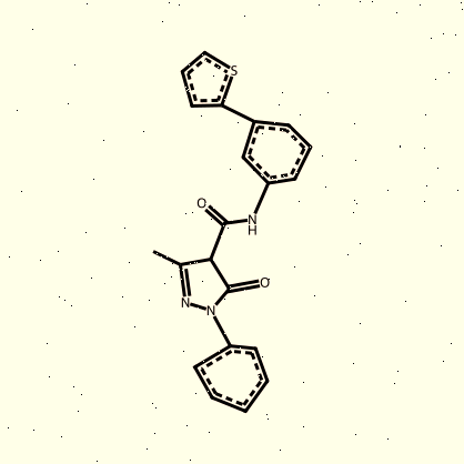 CC1=NN(c2ccccc2)C(=O)C1C(=O)Nc1cccc(-c2cccs2)c1